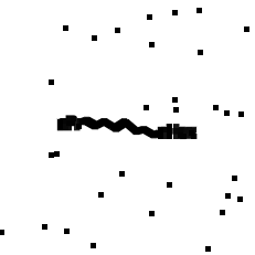 [CH2]CCC=CCC=CCCCCCCCC[CH2]